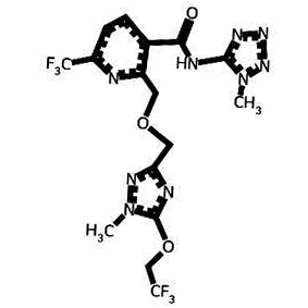 Cn1nnnc1NC(=O)c1ccc(C(F)(F)F)nc1COCc1nc(OCC(F)(F)F)n(C)n1